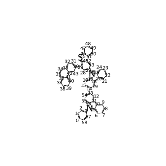 c1ccc(-n2c3ccccc3c3cc(-c4ccc5c(c4)c4ccccc4n5-c4cc(-c5ccc6ccc7ccccc7c6c5)c5sc6ccccc6c5c4)ccc32)cc1